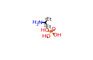 CCC(N)CC.O=P(O)(O)O